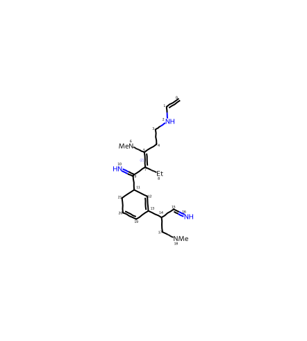 C=CNCC/C(NC)=C(\CC)C(=N)C1C=C(C(C=N)CNC)C=CC1